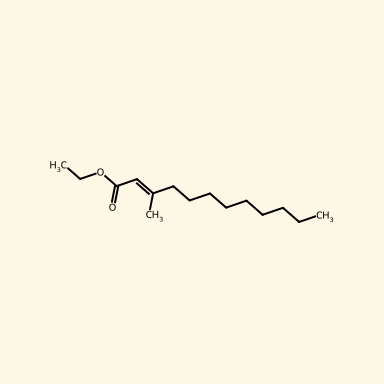 CCCCCCCCC/C(C)=C/C(=O)OCC